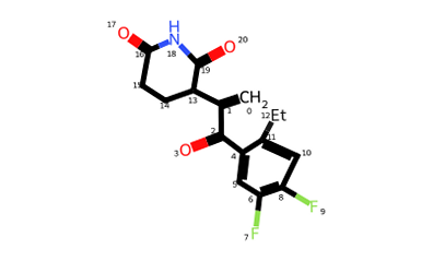 C=C(C(=O)c1cc(F)c(F)cc1CC)C1CCC(=O)NC1=O